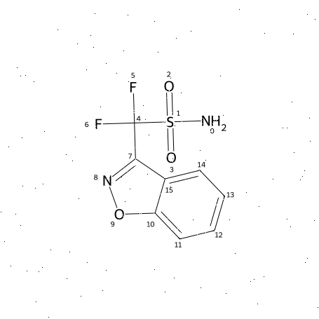 NS(=O)(=O)C(F)(F)c1noc2ccccc12